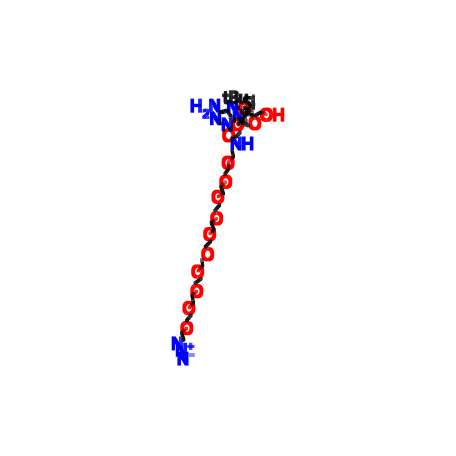 CC(C)(C)[Si](C)(C)O[C@@H]1C(CO)OC[C@]1(OCC(=O)NCCOCCOCCOCCOCCOCCOCCOCCOCCOCCOCCN=[N+]=[N-])n1cnc2c(N)ncnc21